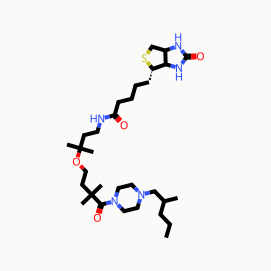 CCCC(C)CN1CCN(C(=O)C(C)(C)CCOC(C)(C)CCNC(=O)CCCC[C@@H]2SCC3NC(=O)NC32)CC1